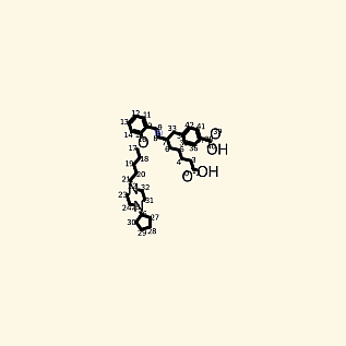 O=C(O)CCCCC(/C=C/c1ccccc1OCCCCCN1CCN(C2CCCC2)CC1)Cc1ccc(C(=O)O)cc1